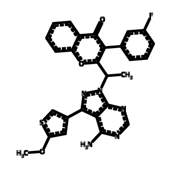 COc1cc(-c2nn(C(C)c3oc4ccccc4c(=O)c3-c3cccc(F)c3)c3ncnc(N)c23)cs1